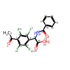 CC(=O)c1c(F)c(F)c(C(NC(=O)c2ccccc2)C(=O)O)c(F)c1F